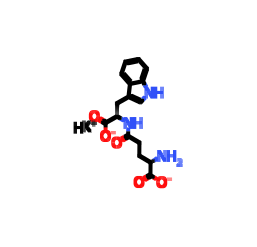 N[C@H](CCC(=O)N[C@H](Cc1c[nH]c2ccccc12)C(=O)[O-])C(=O)[O-].[H+].[K+]